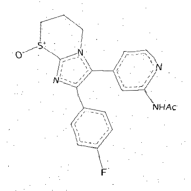 CC(=O)Nc1cc(-c2c(-c3ccc(F)cc3)nc3n2CCC[S+]3[O-])ccn1